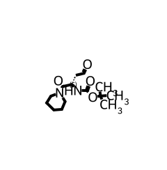 CC(C)(C)OC(=O)N[C@@H](CC=O)C(=O)N1CCCCC1